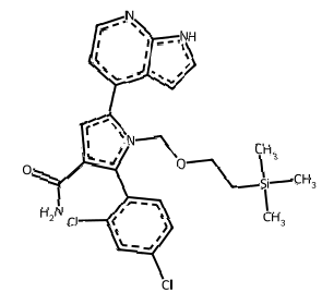 C[Si](C)(C)CCOCn1c(-c2ccnc3[nH]ccc23)cc(C(N)=O)c1-c1ccc(Cl)cc1Cl